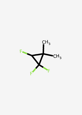 CC1(C)C(F)C1(F)F